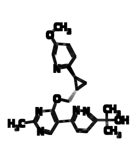 COc1ccc([C@H]2C[C@@H]2COc2nc(C)ncc2-c2ccc(C(C)(C)O)nn2)nc1